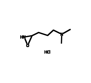 CN(C)CCCC1NO1.Cl